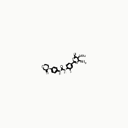 CSc1c(N)nc(-c2ccc(NC(=O)Nc3ccc(N4CCOCC4=O)cc3)c(F)c2)nc1Cl